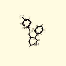 Clc1ccc(OCC2CCNCC2c2ccccc2)nc1